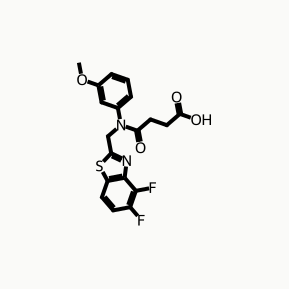 COc1cccc(N(Cc2nc3c(F)c(F)ccc3s2)C(=O)CCC(=O)O)c1